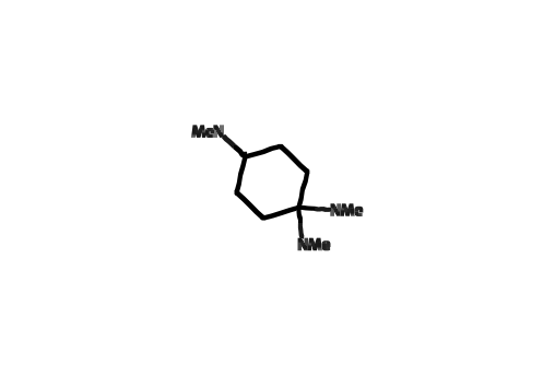 CN[C]1CCC(NC)(NC)CC1